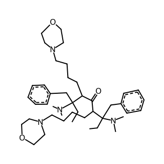 CCC(Cc1ccccc1)(C(CCCCN1CCOCC1)C(=O)C(CCCCN1CCOCC1)C(CC)(Cc1ccccc1)N(C)C)N(C)C